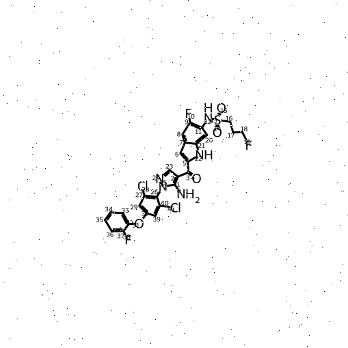 Nc1c(C(=O)c2cc3cc(F)c(NS(=O)(=O)CCCF)cc3[nH]2)cnn1-c1c(Cl)cc(Oc2ccccc2F)cc1Cl